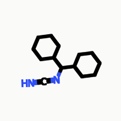 N=C=NC(C1CCCCC1)C1CCCCC1